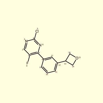 Fc1cnc(Cl)nc1-c1cccc(C2COC2)c1